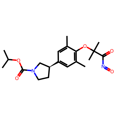 Cc1cc([C@H]2CCN(C(=O)OC(C)C)C2)cc(C)c1OC(C)(C)C(=O)N=O